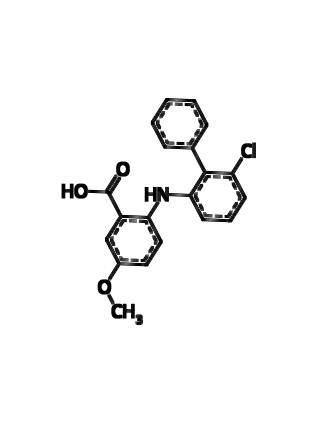 COc1ccc(Nc2cccc(Cl)c2-c2ccccc2)c(C(=O)O)c1